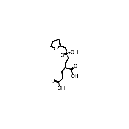 O=C(O)CCC(CCP(=O)(O)CC1CCCO1)C(=O)O